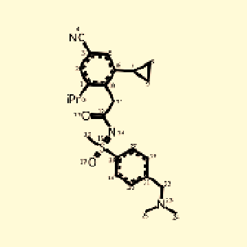 CC(C)c1cc(C#N)cc(C2CC2)c1CC(=O)N=S(C)(=O)c1ccc(CN(C)C)cc1